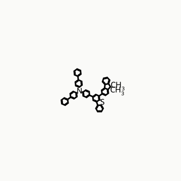 CC1(C)c2ccccc2-c2cc(-c3cc(-c4ccc(N(c5ccc(-c6ccccc6)cc5)c5ccc(-c6ccccc6)cc5)cc4)cc4c3sc3ccccc34)ccc21